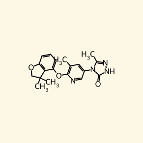 Cc1cc(-n2c(C)n[nH]c2=O)cnc1Oc1cccc2c1C(C)(C)CO2